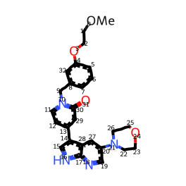 COCCOc1cccc(Cn2ccc(-c3c[nH]c4ncc(N5CCOCC5)cc34)cc2=O)c1